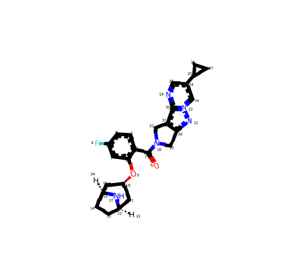 O=C(c1ccc(F)cc1O[C@H]1C[C@H]2CC[C@@H](C1)N2)N1Cc2nn3cc(C4CC4)cnc3c2C1